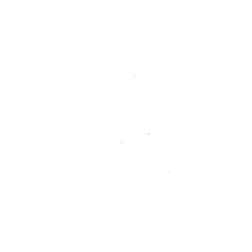 COc1ccnc2c1C1N=CN(C3CCCCC3)C(=O)C1S2